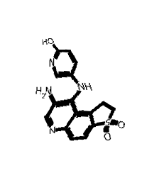 Nc1cnc2ccc3c(c2c1Nc1ccc(O)nc1)CCS3(=O)=O